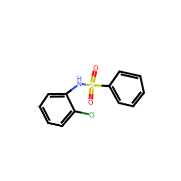 O=S(=O)(Nc1c[c]ccc1Cl)c1ccccc1